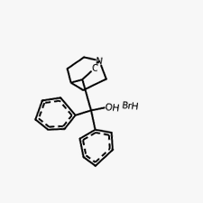 Br.OC(c1ccccc1)(c1ccccc1)C1CN2CCC1CC2